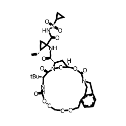 C=C[C@@H]1C[C@]1(NC(=O)[C@@H]1C[C@@H]2CN1C(=O)[C@H](C(C)(C)C)NC(=O)OCCCCCc1cccc3c1CN(C3)C(=O)O2)C(=O)NS(=O)(=O)C1CC1